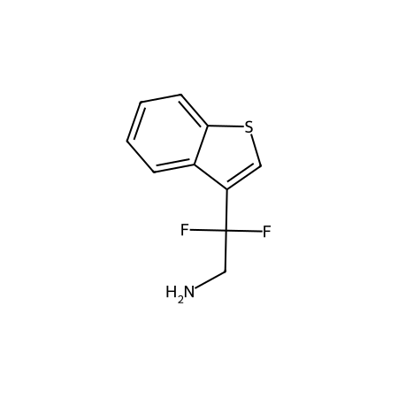 NCC(F)(F)c1csc2ccccc12